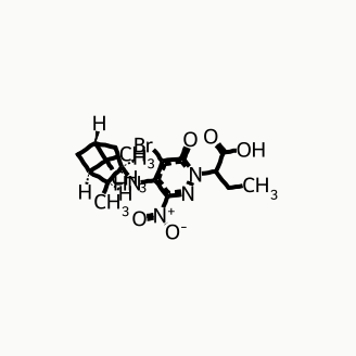 CCC(C(=O)O)n1nc([N+](=O)[O-])c(N[C@@H]2C[C@H]3C[C@H]([C@@H]2C)C3(C)C)c(Br)c1=O